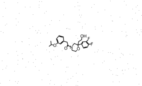 CC(C)Oc1cccc(CC(=O)N2CCOC(CCO)(c3ccc(F)c(F)c3)C2)c1